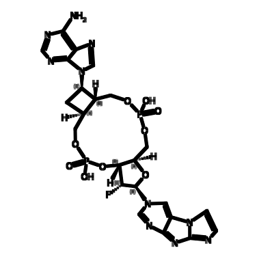 Nc1ncnc2c1ncn2[C@@H]1C[C@@H]2COP(=O)(O)O[C@H]3[C@@H](F)[C@H](n4cnc5nc6nccn6c5c4)O[C@@H]3COP(=O)(O)OC[C@H]21